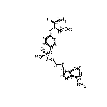 CCCCCCCCN[C@@H](Cc1ccc(OP(=O)(O)COCCn2cnc3c(N)ncnc32)cc1)C(N)=O